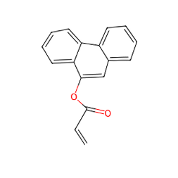 C=CC(=O)Oc1cc2ccccc2c2ccccc12